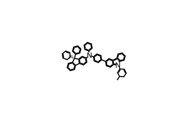 CC1C=C(n2c3ccccc3c3cc(-c4ccc(N(c5ccccc5)c5ccc6c(c5)C(c5ccccc5)([C@H]5C=CC=CC5)c5ccccc5-6)cc4)ccc32)C=CC1